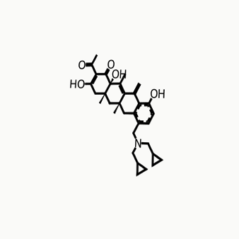 C=C1C2=C(C)[C@@]3(O)C(=O)C(C(C)=O)=C(O)C[C@@]3(C)C[C@@]2(C)Cc2c(CN(CC3CC3)CC3CC3)ccc(O)c21